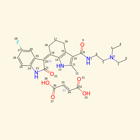 CCN(CC)CCNC(=O)c1c(C)[nH]c2c1CCC/C2=C1/C(=O)Nc2ccc(F)cc21.O=C(O)/C=C/C(=O)O